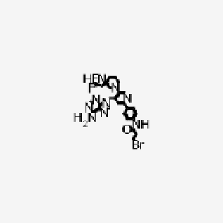 Nc1ncnc2c1ncn2Cc1cc(-c2ccc(NC(=O)CCBr)cc2)ncc1N1CCCC(N)(CC(F)F)C1